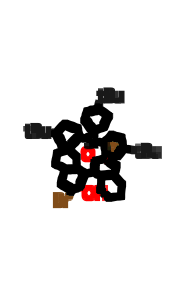 CC(C)(C)c1ccc([Si](Oc2c(Br)cc3c(c2-c2c(O)c(Br)cc4c2CCCC4)CCCC3)(c2ccc(C(C)(C)C)cc2)c2ccc(C(C)(C)C)cc2)cc1